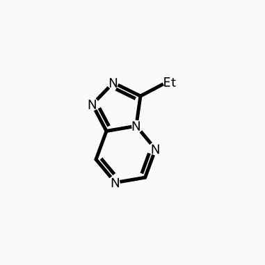 CCc1nnc2cncnn12